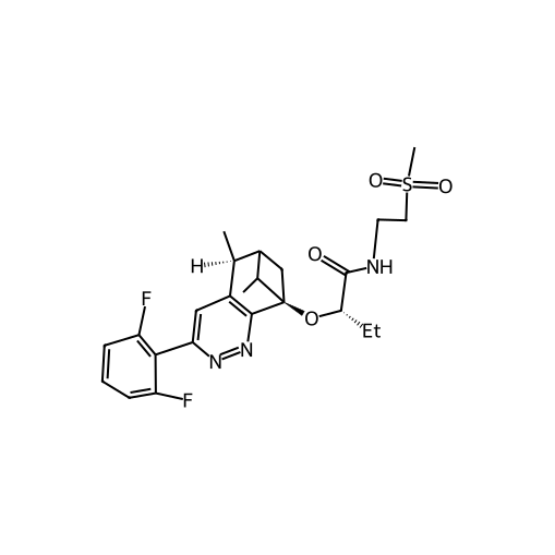 CC[C@H](O[C@]12CC(C1C)[C@H](C)c1cc(-c3c(F)cccc3F)nnc12)C(=O)NCCS(C)(=O)=O